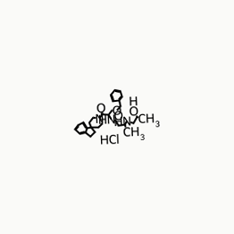 CC(O)CNC(C)CC(=O)NC(COCc1ccccc1)C(=O)N1CCC2(CCc3ccccc32)CC1.Cl